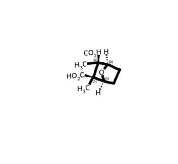 C[C@]1(C(=O)O)[C@H]2CC[C@H](O2)[C@@]1(C)C(=O)O